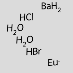 Br.Cl.O.O.[BaH2].[Eu]